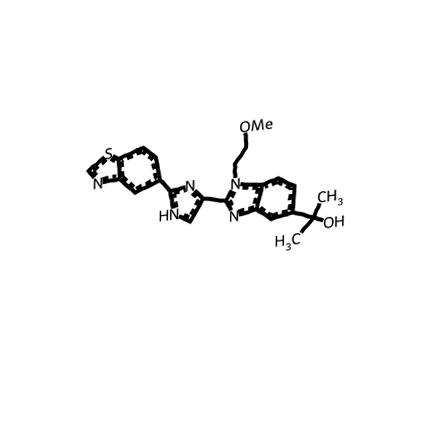 COCCn1c(-c2c[nH]c(-c3ccc4scnc4c3)n2)nc2cc(C(C)(C)O)ccc21